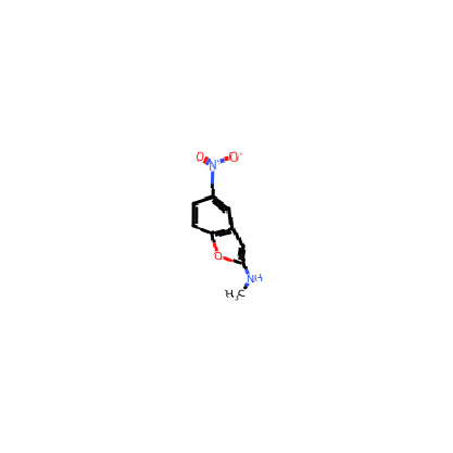 CNc1cc2cc([N+](=O)[O-])ccc2o1